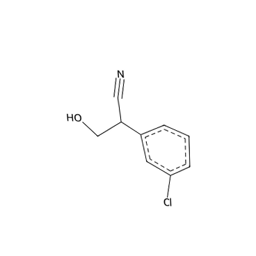 N#CC(CO)c1cccc(Cl)c1